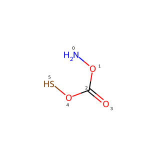 NOC(=O)OS